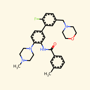 Cc1cccc(C(=O)Nc2cc(-c3cc(CN4CCOCC4)ccc3F)ccc2N2CCN(C)CC2)c1